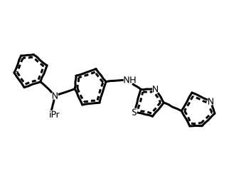 CC(C)N(c1ccccc1)c1ccc(Nc2nc(-c3cccnc3)cs2)cc1